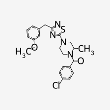 COc1cccc(Cc2nsc(N3CCN(C(=O)c4ccc(Cl)cc4)C(C)C3)n2)c1